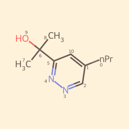 CCCc1cnnc(C(C)(C)O)c1